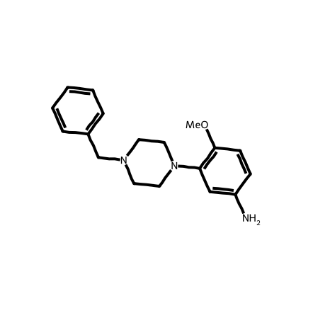 COc1ccc(N)cc1N1CCN(Cc2ccccc2)CC1